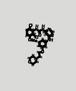 COc1ccc(Cl)c(NC(=O)Nc2cc(Nc3cccc(OCCN4CCOCC4)c3)ncn2)c1Cl